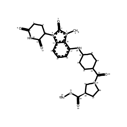 Cn1c(=O)n(C2CCC(=O)NC2=O)c2cccc(NC3CCC(C(=O)N4CC[C@@H](C(=O)OC(C)(C)C)C4)CC3)c21